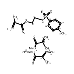 C=C(C)C(=O)OC.C=C(C)C(=O)OCCOS(=O)(=O)c1ccc(C)cc1.CCCOC(=O)C(C)=CO